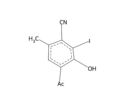 CC(=O)c1cc(C)c(C#N)c(I)c1O